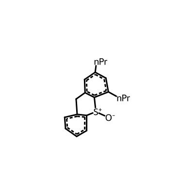 CCCc1cc(CCC)c2c(c1)Cc1ccccc1[S+]2[O-]